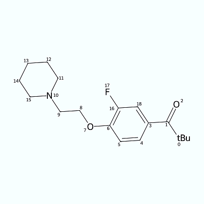 CC(C)(C)C(=O)c1ccc(OCCN2CCCCC2)c(F)c1